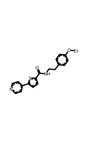 CCOc1ccc(CCNC(=O)c2ccc(-c3ccncc3)s2)cc1